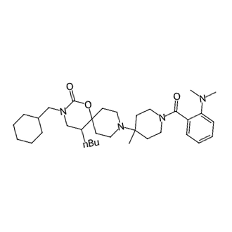 CCCCC1CN(CC2CCCCC2)C(=O)OC12CCN(C1(C)CCN(C(=O)c3ccccc3N(C)C)CC1)CC2